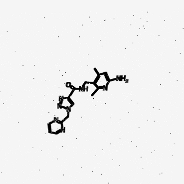 Cc1cc(N)nc(C)c1CNC(=O)c1cn(Cc2ncccn2)nn1